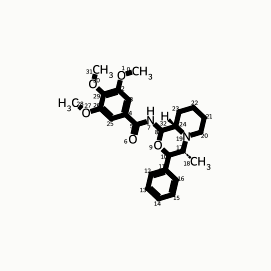 COc1cc(C(=O)NC2OC(c3ccccc3)[C@@H](C)N3CCCC[C@@H]23)cc(OC)c1OC